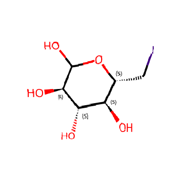 OC1O[C@H](CI)[C@@H](O)[C@H](O)[C@H]1O